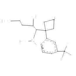 CCCC(O)C(N(C)C)C1(c2cccc(C(F)(F)F)c2)CCC1.Cl